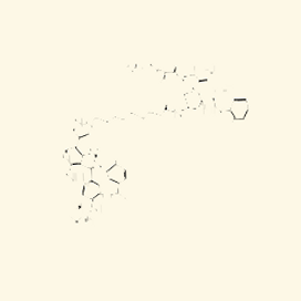 CNC(C)C(=O)NC(C(=O)N1CC(NC(=O)CCCCCCCCn2cc(-c3cnc(N)c4c(-c5ccc(NS(=O)(=O)C(F)F)c(OC(C)c6ccc(F)cc6)c5)nn(C)c34)cn2)C[C@H]1C(=O)Nc1c(F)cccc1F)C(C)(C)C